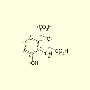 O=C(O)COCC(=O)O.Oc1ccccc1O